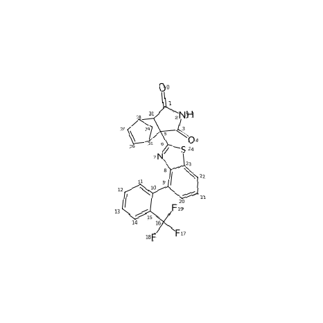 O=C1NC(=O)C2(c3nc4c(-c5ccccc5C(F)(F)F)cccc4s3)C3C=CC(C3)C12